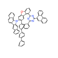 c1ccc(-c2ccc(-c3ccc(-c4cc5c(cc4-n4c6cc7ccccc7cc6c6ccc7ccccc7c64)oc4cccc(-c6nc(-c7ccccc7)nc(-c7cc8ccccc8c8ccccc78)n6)c45)cc3)cc2)cc1